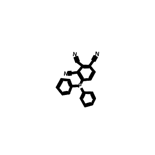 N#Cc1ccc(P(c2ccccc2)c2ccccc2)c(C#N)c1C#N